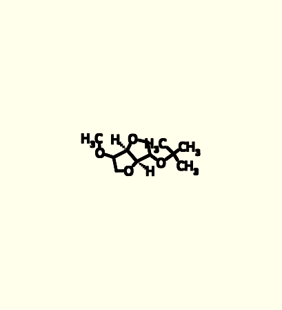 COC1CO[C@@H]2C(OC(C)(C)C)CO[C@H]12